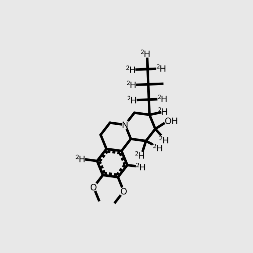 [2H]c1c2c(c([2H])c(OC)c1OC)C1N(CC2)CC([2H])(C([2H])([2H])C([2H])(C)C([2H])([2H])[2H])C([2H])(O)C1([2H])[2H]